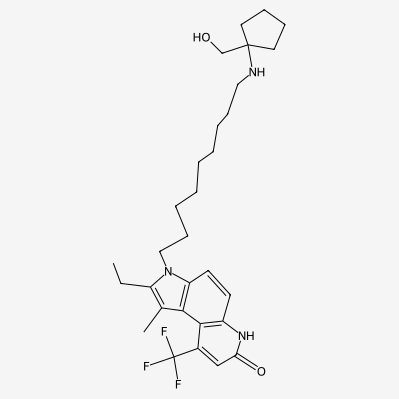 CCc1c(C)c2c3c(C(F)(F)F)cc(=O)[nH]c3ccc2n1CCCCCCCCCNC1(CO)CCCC1